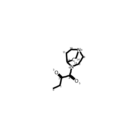 CCC(=O)C(=O)N1CCN2CCC1CC2